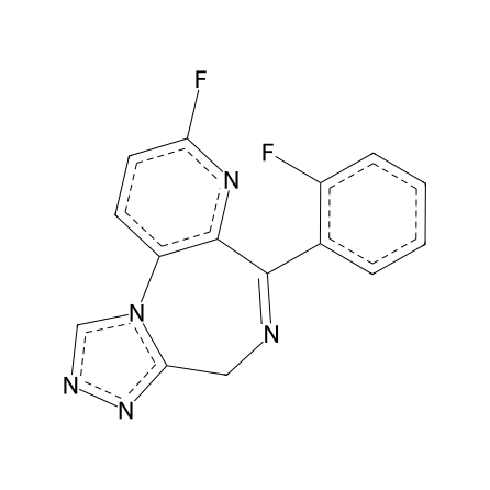 Fc1ccc2c(n1)C(c1ccccc1F)=NCc1nncn1-2